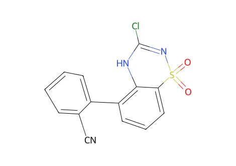 N#Cc1ccccc1-c1cccc2c1NC(Cl)=NS2(=O)=O